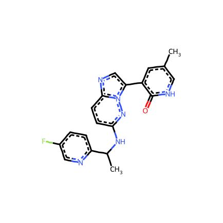 Cc1c[nH]c(=O)c(-c2cnc3ccc(NC(C)c4ccc(F)cn4)nn23)c1